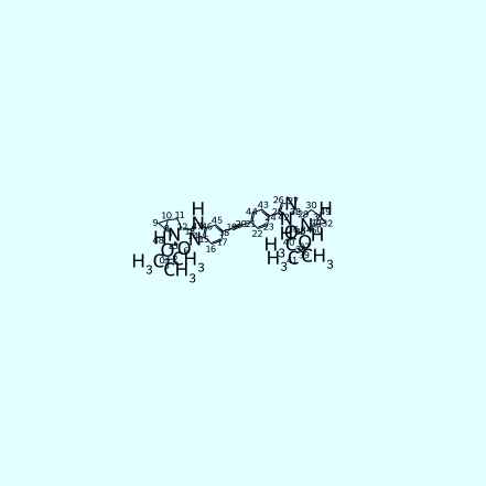 CC(C)(C)OC(=O)N1[C@@H]2CC2C[C@H]1c1nc2ccc(C#Cc3ccc(-c4cnc([C@@H]5C[C@H]6C[C@H]6N5C(=O)OC(C)(C)C)[nH]4)cc3)cc2[nH]1